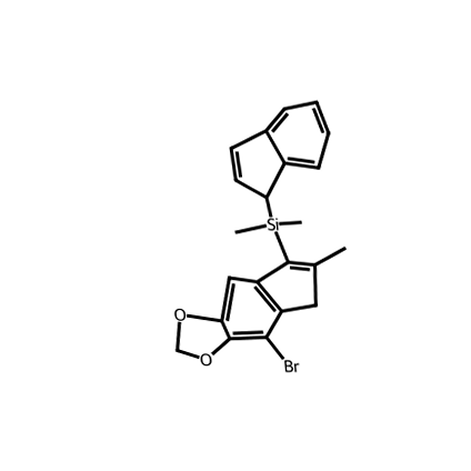 CC1=C([Si](C)(C)C2C=Cc3ccccc32)c2cc3c(c(Br)c2C1)OCO3